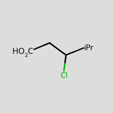 CC(C)C(Cl)CC(=O)O